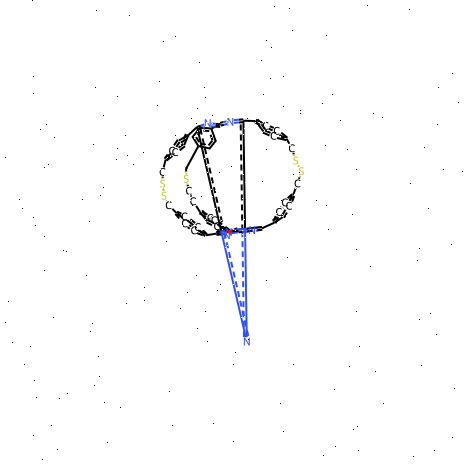 c1cc2ccc1CCSCc1ccc(cc1)-c1nc3nc(n1)-c1ccc(cc1)CSSCc1ccc(cc1)-c1nc-2nc(n1)-c1ccc(cc1)CSSCc1ccc-3cc1